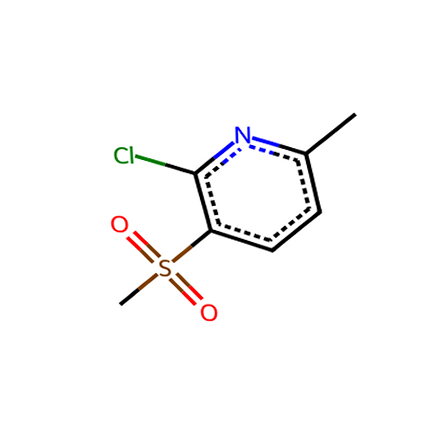 Cc1ccc(S(C)(=O)=O)c(Cl)n1